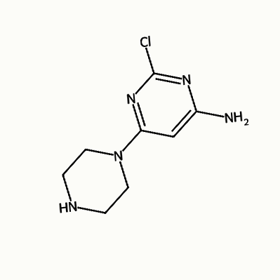 Nc1cc(N2CCNCC2)nc(Cl)n1